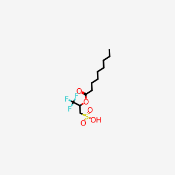 CCCCCCCCC(=O)OC(CS(=O)(=O)O)C(F)(F)F